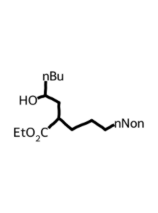 CCCCCCCCCCCCC(CC(O)CCCC)C(=O)OCC